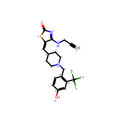 C#CCNC1=NC(=O)SC1=CC1CCN(Cc2ccc(O)cc2C(F)(F)F)CC1